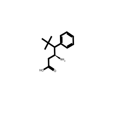 CC(C)(C)C(c1ccccc1)[C@@H](N)CC(=O)O